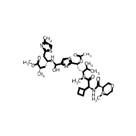 COC(=O)[C@@H](C)C[C@H](Cc1nc(C)cs1)NC(O)c1csc([C@@H](C[C@H](C(C)C)N(C)C(=O)[C@@H](NC(=O)[C@H]2COCCN2C)C2CCC2)OC(C)=O)n1